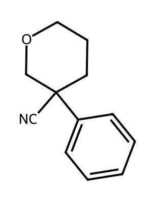 N#CC1(c2ccccc2)CCCOC1